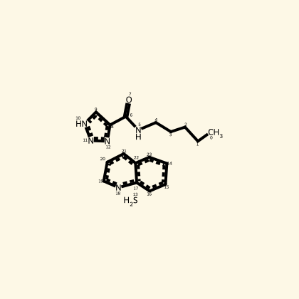 CCCCCNC(=O)c1c[nH]nn1.S.c1ccc2ncccc2c1